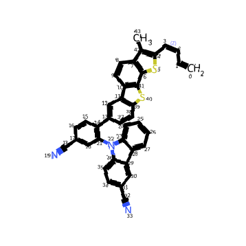 C=C/C=C\c1sc2c(ccc3c4cc(-c5ccc(C#N)cc5-n5c6ccccc6c6cc(C#N)ccc65)ccc4sc32)c1C